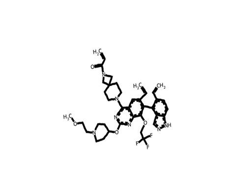 C=CC(=O)N1CC2(CCN(c3nc(OC4CCN(CCOC)CC4)nc4c(OCC(F)(F)F)c(-c5c(C=C)ccc6[nH]ncc56)c(C=C)cc34)CC2)C1